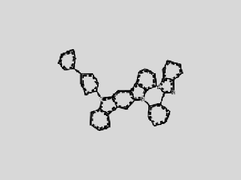 c1ccc(-c2ccc(-n3c4ccccc4c4cc5c(cc43)c3ccccc3n5-c3ccccc3-c3nc4ccccc4s3)cc2)cc1